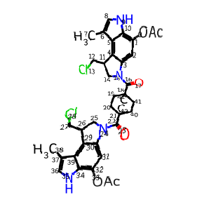 CC(=O)Oc1cc2c(c3c(C)c[nH]c13)C(CCl)CN2C(=O)C12CCC(C(=O)N3CC(CCl)c4c3cc(OC(C)=O)c3[nH]cc(C)c43)(CC1)CC2